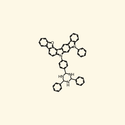 c1ccc(C2NC(c3ccccc3)NC(c3ccc(-n4c5cc6c(cc5c5c7oc8ccccc8c7ccc54)c4ccccc4n6-c4ccccc4)cc3)N2)cc1